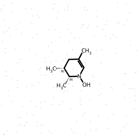 CC1=CN(O)[C@H](C)[C@H](C)C1